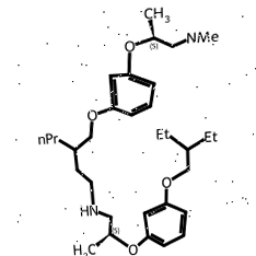 CCCC(CCNC[C@H](C)Oc1cccc(OCC(CC)CC)c1)COc1cccc(O[C@@H](C)CNC)c1